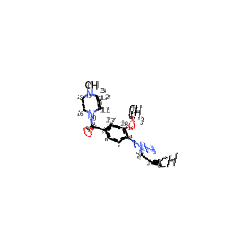 C#CCNc1ccc(C(=O)N2CCN(C)CC2)cc1OC